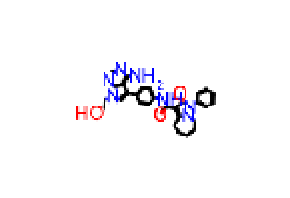 Nc1ncnc2c1c(-c1ccc(NC(=O)c3c4n(n(-c5ccccc5)c3=O)CCCCC4)cc1)cn2CCO